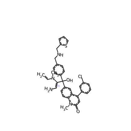 C=CN(C)/C(=C\N)C(O)(c1ccc(CNCc2cccs2)cc1)c1ccc2c(c1)c(-c1cccc(Cl)c1)cc(=O)n2C